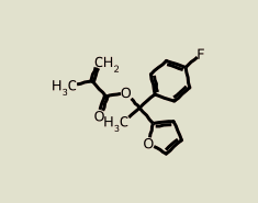 C=C(C)C(=O)OC(C)(c1ccc(F)cc1)c1ccco1